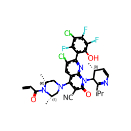 C=CC(=O)N1[C@H](C)CN(c2c(C#N)c(=O)n(C3C(C(C)C)=NC=C[C@H]3C)c3nc(-c4c(O)c(F)c(F)c(Cl)c4F)c(Cl)cc23)C[C@@H]1C